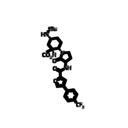 CC(C)(C)N[C@@H]1CC[C@H](N2CCC(NC(=O)c3cc(-c4ccc(C(F)(F)F)cc4)co3)C2=O)[C@](C)(C(=O)O)C1